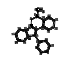 CN1Cn2c(c(-c3ccccc3)c3ccccc32)-c2ccccc21